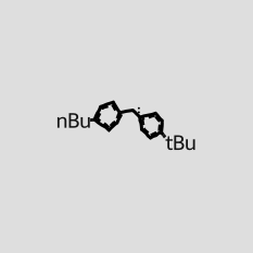 CCCCc1ccc([C]c2ccc(C(C)(C)C)cc2)cc1